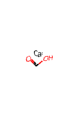 O=CO.[Ca]